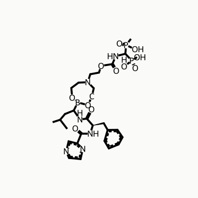 CC(C)CC(NC(=O)[C@@H](Cc1ccccc1)NC(=O)c1cnccn1)B1OCCN(CCOC(=O)NC(P(C)(=O)O)P(=O)(O)O)CCO1